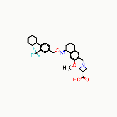 COc1cc2c(cc1CN1CC(C(=O)O)C1)CCC/C2=N\OCc1ccc(C2CCCCC2)c(C(F)(F)F)c1